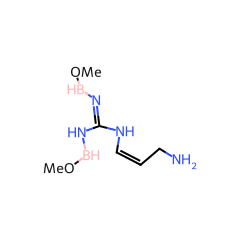 COB/N=C(\NBOC)N/C=C\CN